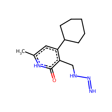 Cc1cc(C2CCCCC2)c(CNN=N)c(=O)[nH]1